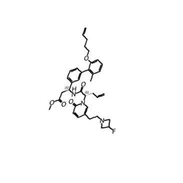 C=CCCCOc1cccc(C)c1-c1cccc([C@H](CC(=O)OC)NC(=O)[C@H](CC=C)n2cc(CCN3CC(F)C3)ccc2=O)c1